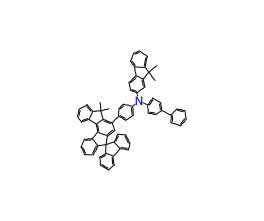 CC1(C)c2ccccc2-c2ccc(N(c3ccc(-c4ccccc4)cc3)c3ccc(-c4cc5c(c6c4C(C)(C)c4ccccc4-6)-c4ccccc4C54c5ccccc5-c5ccccc54)cc3)cc21